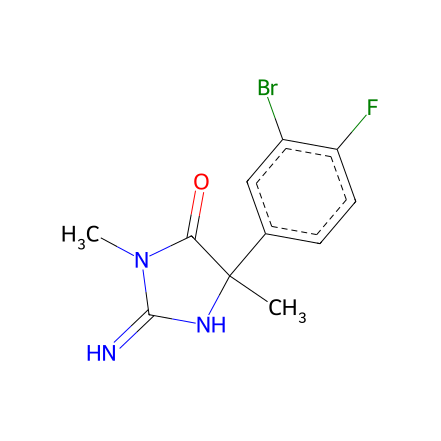 CN1C(=N)NC(C)(c2ccc(F)c(Br)c2)C1=O